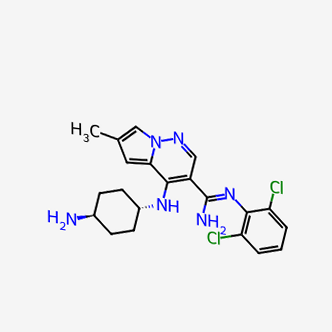 Cc1cc2c(N[C@H]3CC[C@H](N)CC3)c(/C(N)=N/c3c(Cl)cccc3Cl)cnn2c1